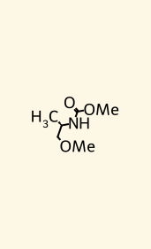 COC[C@@H](C)NC(=O)OC